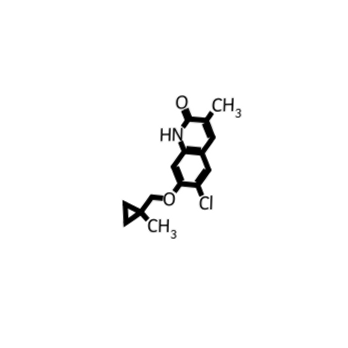 Cc1cc2cc(Cl)c(OCC3(C)CC3)cc2[nH]c1=O